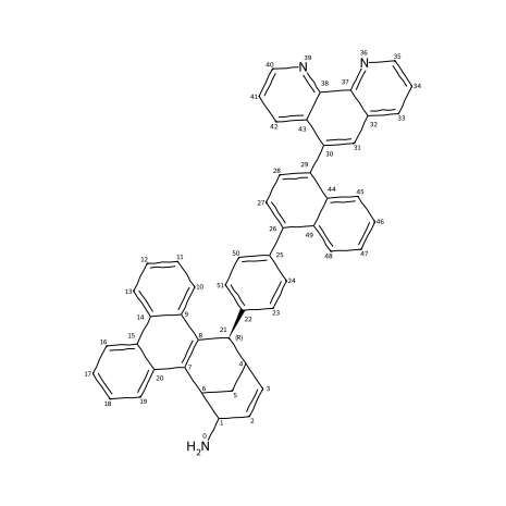 NC1C=CC2CC1c1c(c3ccccc3c3ccccc13)[C@H]2c1ccc(-c2ccc(-c3cc4cccnc4c4ncccc34)c3ccccc23)cc1